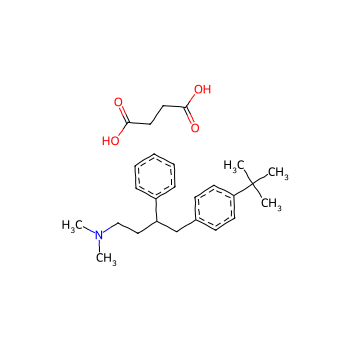 CN(C)CCC(Cc1ccc(C(C)(C)C)cc1)c1ccccc1.O=C(O)CCC(=O)O